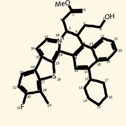 C=C(CC1C(CCO)c2c(cc(C3CCCCC3)c3ccccc23)-c2c3sc4c(C)c(F)ccc4c3cc[n+]21)OC